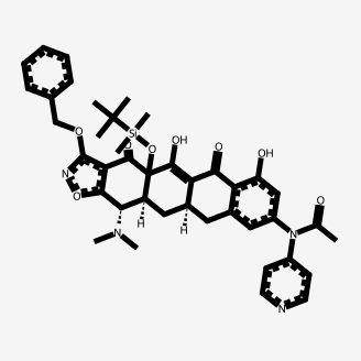 CC(=O)N(c1ccncc1)c1cc(O)c2c(c1)C[C@H]1C[C@H]3[C@H](N(C)C)c4onc(OCc5ccccc5)c4C(=O)C3(O[Si](C)(C)C(C)(C)C)C(O)=C1C2=O